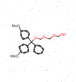 COc1ccc(C(OCOCOCO)(c2ccccc2)c2ccc(OC)cc2)cc1